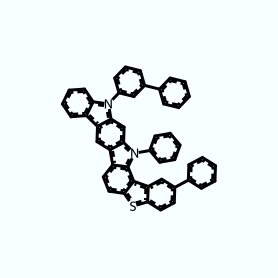 c1ccc(-c2cccc(-n3c4ccccc4c4cc5c6ccc7sc8ccc(-c9ccccc9)cc8c7c6n(-c6ccccc6)c5cc43)c2)cc1